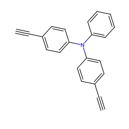 C#Cc1ccc(N(c2ccccc2)c2ccc(C#C)cc2)cc1